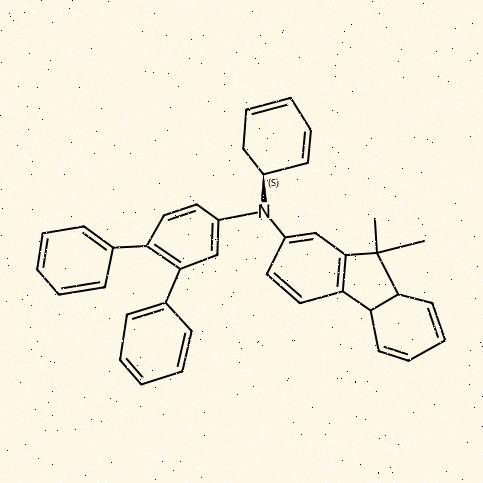 CC1(C)c2cc(N(c3ccc(-c4ccccc4)c(-c4ccccc4)c3)[C@@H]3C=CC=CC3)ccc2C2C=CC=CC21